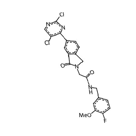 COc1cc(CNC(=O)CN2Cc3ccc(-c4nc(Cl)ncc4Cl)cc3C2=O)ccc1F